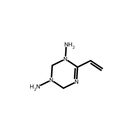 C=CC1=NCN(N)CN1N